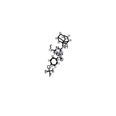 CS/C(N)=N/C(=N\S(=O)(=O)c1ccc(OC(F)(F)F)cc1)NC12CC3CC(CC(C3)C1)C2